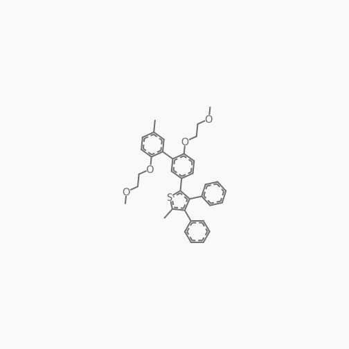 COCCOc1ccc(C)cc1-c1cc(-c2sc(C)c(-c3ccccc3)c2-c2ccccc2)ccc1OCCOC